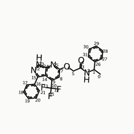 CC(NC(=O)COc1cc(C(F)(F)F)c2c(-c3ccccc3)n[nH]c2n1)c1ccccc1